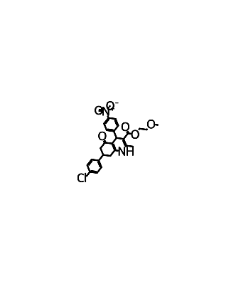 COCCOC(=O)C1=C(C)NC2=C(C(=O)CC(c3ccc(Cl)cc3)C2)C1c1ccc([N+](=O)[O-])cc1